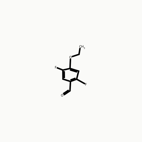 CCOc1cc(F)c(C=O)cc1F